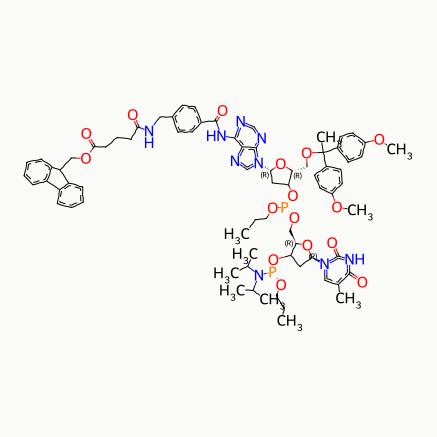 CCCOP(OC[C@H]1O[C@@H](n2cc(C)c(=O)[nH]c2=O)CC1OP(OCCC)N(C(C)C)C(C)C)OC1C[C@H](n2cnc3c(NC(=O)c4ccc(CNC(=O)CCCC(=O)OCC5c6ccccc6-c6ccccc65)cc4)ncnc32)O[C@@H]1COC(C)(c1ccc(OC)cc1)c1ccc(OC)cc1